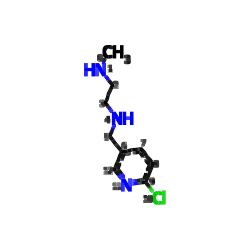 CNCCNCc1ccc(Cl)nc1